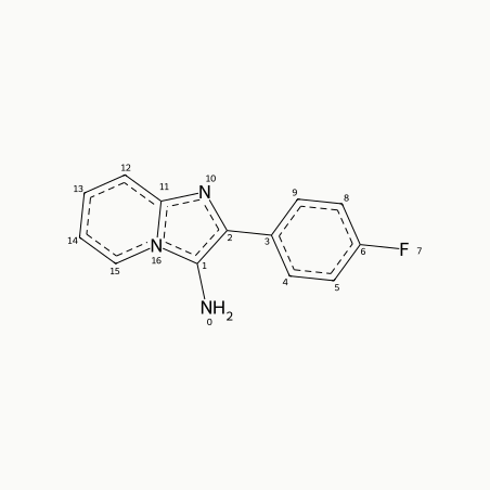 Nc1c(-c2ccc(F)cc2)nc2ccccn12